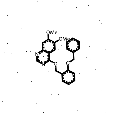 COc1cc2ncnc(OCc3ccccc3OCc3ccccc3)c2cc1OC